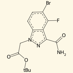 CC(C)(C)OC(=O)Cn1nc(C(N)=O)c2c(F)c(Br)ccc21